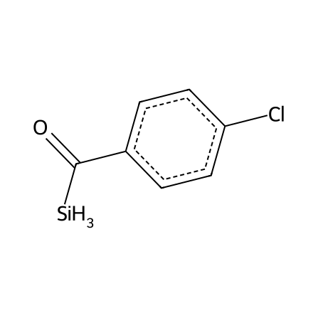 O=C([SiH3])c1ccc(Cl)cc1